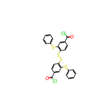 O=C(Cl)c1ccc(SSc2ccc(C(=O)Cl)cc2Sc2ccccc2)c(Sc2ccccc2)c1